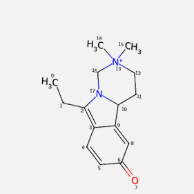 CCC1=C2C=CC(=O)C=C2C2CC[N+](C)(C)CN12